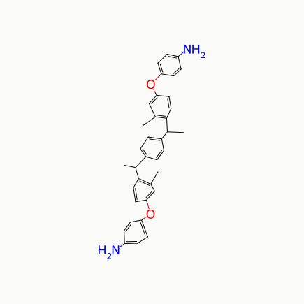 Cc1cc(Oc2ccc(N)cc2)ccc1C(C)c1ccc(C(C)c2ccc(Oc3ccc(N)cc3)cc2C)cc1